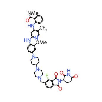 CNC(=O)c1ccccc1Nc1cc(Nc2ccc(N3CCC(N4CCN(Cc5ccc6c(c5F)C(=O)N(C5CCC(=O)NC5=O)C6=O)CC4)CC3)cc2OC)ncc1C(F)(F)F